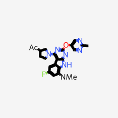 CNc1cc(F)cc2c1[nH]c1nc(Oc3cnc(C)nc3)nc(N3CCC(C(C)=O)C3)c12